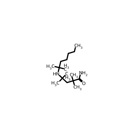 CCCCCC(C)(C)NC(C)(C)CC(C)(C)C(N)=O